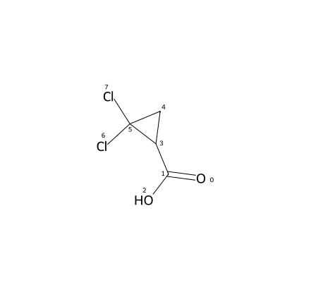 O=C(O)C1CC1(Cl)Cl